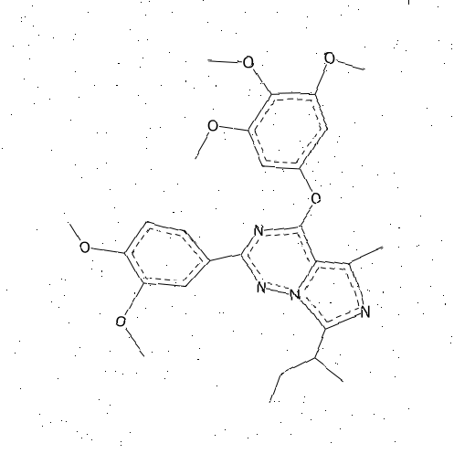 CCC(C)c1nc(C)c2c(Oc3cc(OC)c(OC)c(OC)c3)nc(-c3ccc(OC)c(OC)c3)nn12